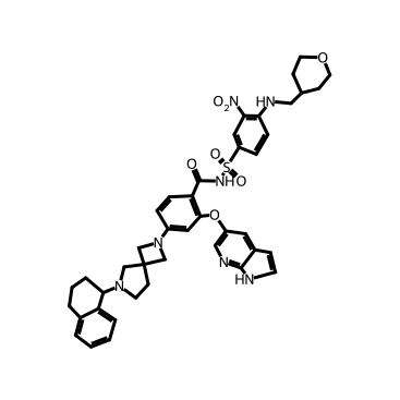 O=C(NS(=O)(=O)c1ccc(NCC2CCOCC2)c([N+](=O)[O-])c1)c1ccc(N2CC3(CCN(C4CCCc5ccccc54)C3)C2)cc1Oc1cnc2[nH]ccc2c1